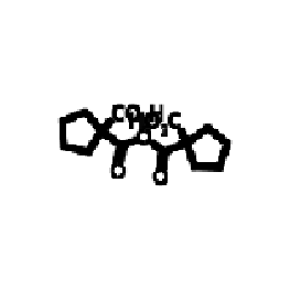 O=C(O)C1(C(=O)OC(=O)C2(C(=O)O)CCCC2)CCCC1